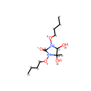 CCCCON1C(=O)N(OCCCC)C(C)(O)C1O